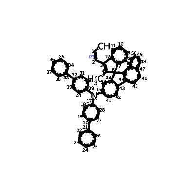 C/C=C\C1=C(C)C2(c3ccccc31)c1cc(N(c3ccc(-c4ccccc4)cc3)c3ccc(-c4ccccc4)cc3)ccc1-c1ccc3ccccc3c12